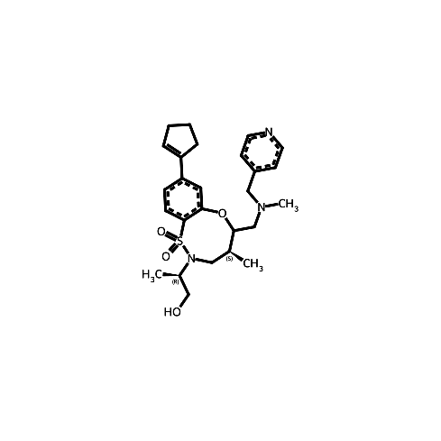 C[C@H](CO)N1C[C@H](C)C(CN(C)Cc2ccncc2)Oc2cc(C3=CCCC3)ccc2S1(=O)=O